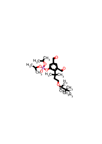 CC(C)OP(=O)(Oc1cc(C=O)cc(C=O)c1C(C)(C)CCO[Si](C)(C)C(C)(C)C)OC(C)C